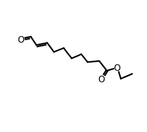 CCOC(=O)CCCCCCC=CC=O